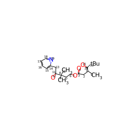 CC(CC(=O)OCCC(C)(C)C(=O)Cc1ccccn1)C(=O)C(C)(C)C